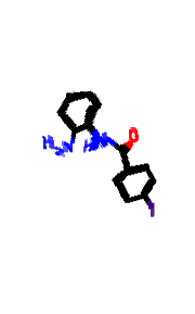 Nc1ccccc1NC(=O)c1ccc(I)cc1